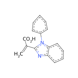 C=C(C(=O)O)c1nc2ccccc2n1-c1ccccc1